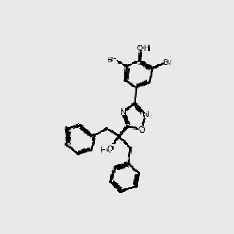 Oc1c(Br)cc(-c2noc(C(O)(Cc3ccccc3)Cc3ccccc3)n2)cc1Br